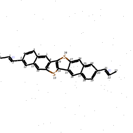 C/C=C/c1ccc2cc3c(cc2c1)sc1c2cc4ccc(/C=C/C)cc4cc2sc31